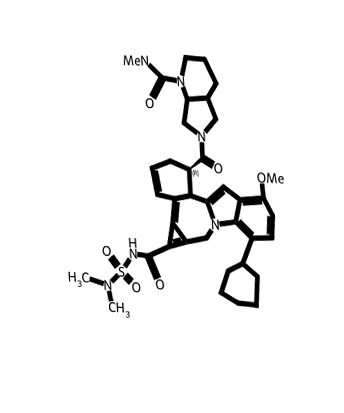 CNC(=O)N1CCCC2CN(C(=O)[C@@H]3CC=CC4=C5C(=C5C(=O)NS(=O)(=O)N(C)C)Cn5c(cc6c(OC)ccc(C7CCCCC7)c65)C43)CC21